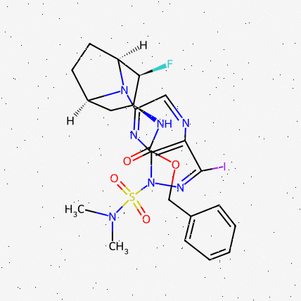 CN(C)S(=O)(=O)n1nc(I)c2ncc(N3[C@@H]4CC[C@H]3[C@@H](F)[C@@H](NC(=O)OCc3ccccc3)C4)nc21